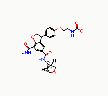 CNC(=O)c1cc(C(=O)N[C@H]2[C@@H]3COC[C@@H]32)cc2c1OCC2c1ccc(OCCNC(=O)O)cc1